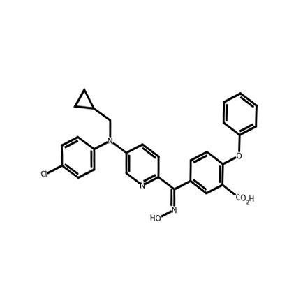 O=C(O)c1cc(C(=NO)c2ccc(N(CC3CC3)c3ccc(Cl)cc3)cn2)ccc1Oc1ccccc1